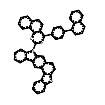 c1ccc2c(-c3ccc(-c4nc(-n5c6ccccc6c6cc7c(ccc8sc9ccccc9c87)cc65)nc5c4ccc4ccccc45)cc3)cccc2c1